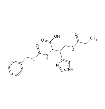 CCC(=O)NCC(c1c[nH]cn1)[C@H](NC(=O)OCc1ccccc1)C(=O)O